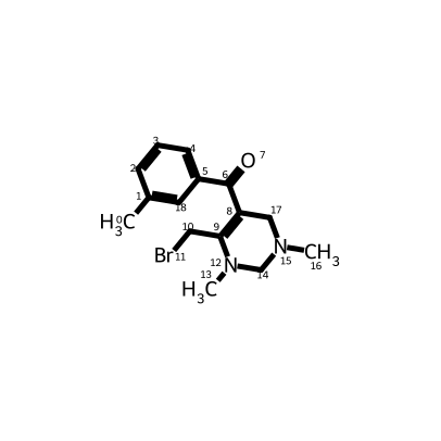 Cc1cccc(C(=O)C2=C(CBr)N(C)CN(C)C2)c1